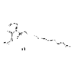 Cn1c[n+](CCCCCCCCCO)c2ccccc21.[Cl-]